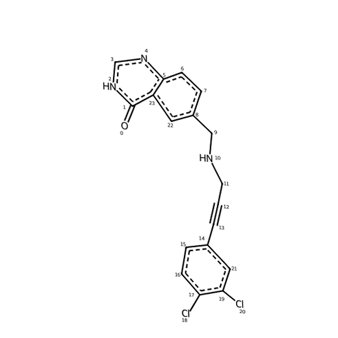 O=c1[nH]cnc2ccc(CNCC#Cc3ccc(Cl)c(Cl)c3)cc12